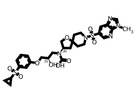 Cn1cnc2cc(S(=O)(=O)N3CCC4(CC3)C[C@@H](N(C[C@H](O)COc3cccc(S(=O)(=O)C5CC5)c3)C(=O)O)CO4)cnc21